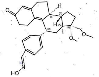 COC[C@@]1(OC)CC[C@H]2[C@@H]3CCC4=CC(=O)CCC4=C3[C@@H](c3ccc(/C=N/O)cc3)C[C@@]21C